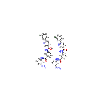 NC1CCCC(NC(=O)C2CCCC(NC(=O)c3ccc(-c4cccc(F)c4)nc3)C2)C1.NC1CCCC(NC(=O)C2CCCC(NC(=O)c3ccc(-c4cccc(F)c4)nc3)C2)C1